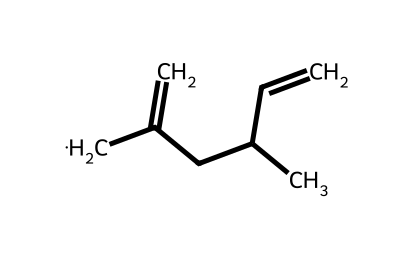 [CH2]C(=C)CC(C)C=C